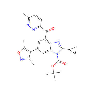 Cc1ccc(C(=O)c2cc(-c3c(C)noc3C)cc3c2nc(C2CC2)n3C(=O)OC(C)(C)C)nn1